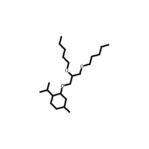 CCCCCOCC(COC1CC(C)CCC1C(C)C)OCCCCC